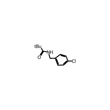 CC(C)(C)C(=O)NCc1ccc(Cl)cc1